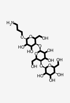 NCCCO[C@@H]1OC(CO)[C@@H](O[C@@H]2OC(CO)[C@H](O[C@H]3OC(CO)[C@H](O)C(O)C3O)C(O)C2O)C(O)C1O